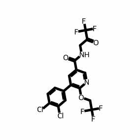 O=C(NCC(=O)C(F)(F)F)c1cnc(OCC(F)(F)F)c(-c2ccc(Cl)c(Cl)c2)c1